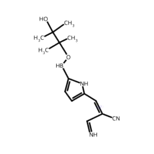 CC(C)(O)C(C)(C)OBc1ccc(/C=C(/C#N)C=N)[nH]1